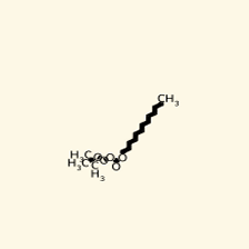 CCCCCCCCCCCCCOC(=O)OOOC(C)(C)C